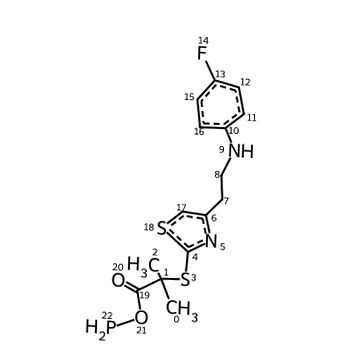 CC(C)(Sc1nc(CCNc2ccc(F)cc2)cs1)C(=O)OP